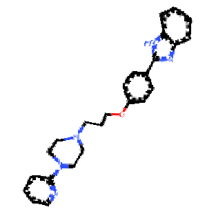 c1ccc(N2CCN(CCCOc3ccc(-c4nc5ccccc5[nH]4)cc3)CC2)nc1